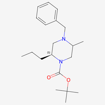 CCC[C@H]1CN(Cc2ccccc2)C(C)CN1C(=O)OC(C)(C)C